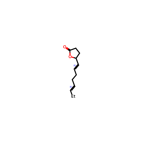 CC/C=C/CC/C=C/C1CCC(=O)O1